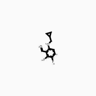 O=Cc1c(OCC2CC2)ccc(F)c1F